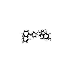 Cc1cc(C)c(S(=O)(=O)C[C@H]2CCN(c3cccc4ncccc34)C2)c(C)c1